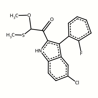 COC(SC)C(=O)c1[nH]c2ccc(Cl)cc2c1-c1ccccc1F